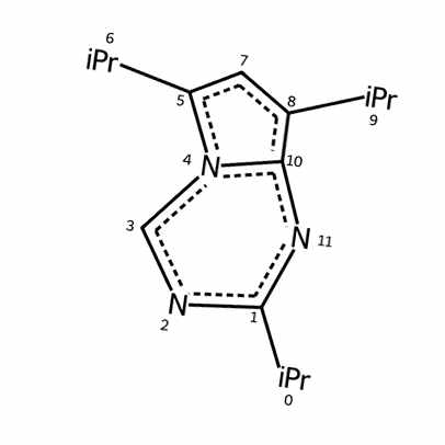 CC(C)c1ncn2c(C(C)C)cc(C(C)C)c2n1